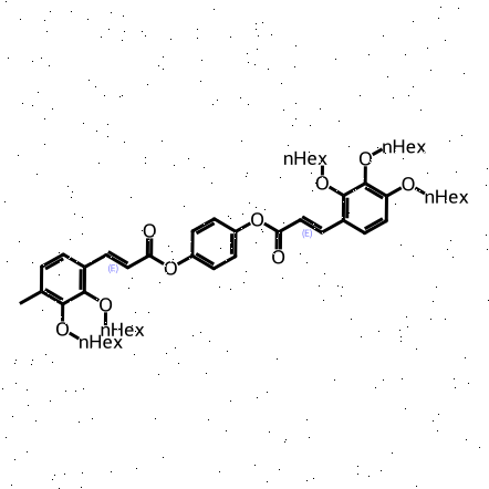 CCCCCCOc1ccc(/C=C/C(=O)Oc2ccc(OC(=O)/C=C/c3ccc(C)c(OCCCCCC)c3OCCCCCC)cc2)c(OCCCCCC)c1OCCCCCC